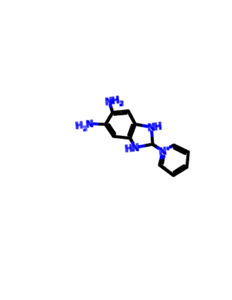 Nc1cc2c(cc1N)NC([n+]1ccccc1)N2